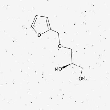 OC[C@@H](O)COCc1ccco1